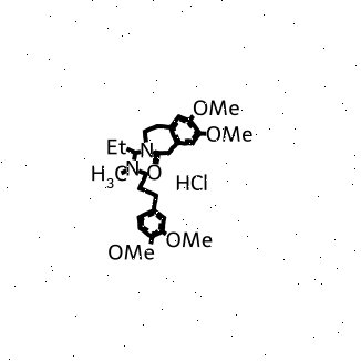 CCC(N(C)CCCc1ccc(OC)c(OC)c1)N1CCc2cc(OC)c(OC)cc2CC1=O.Cl